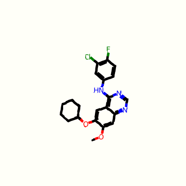 COc1cc2ncnc(Nc3ccc(F)c(Cl)c3)c2cc1OC1CCCCC1